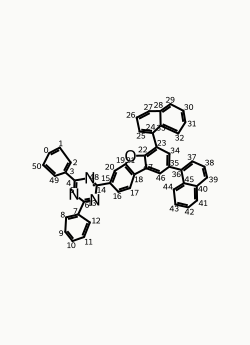 c1ccc(-c2nc(-c3ccccc3)nc(-c3ccc4c(c3)oc3c(-c5cccc6ccccc56)cc(-c5cccc6ccccc56)cc34)n2)cc1